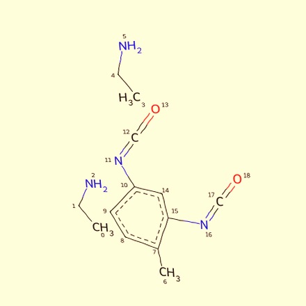 CCN.CCN.Cc1ccc(N=C=O)cc1N=C=O